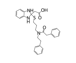 O=C(O)CC1(SCCCN(CCc2ccccc2)C(=O)Cc2ccccc2)Nc2ccccc2N1